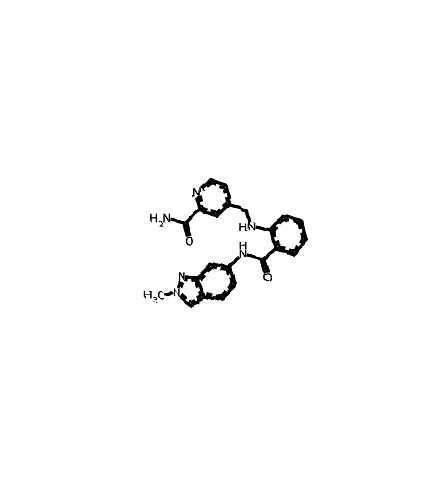 Cn1cc2ccc(NC(=O)c3ccccc3NCc3ccnc(C(N)=O)c3)cc2n1